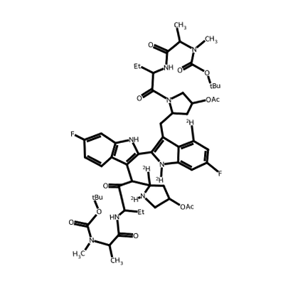 [2H]c1cc(F)cc2c1c(CC1CC(OC(C)=O)CN1C(=O)C(CC)NC(=O)C(C)N(C)C(=O)OC(C)(C)C)c(-c1[nH]c3cc(F)ccc3c1C(C(=O)C(CC)NC(=O)C(C)N(C)C(=O)OC(C)(C)C)C1([2H])CC(OC(C)=O)CN1[2H])n2[2H]